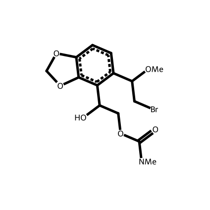 CNC(=O)OCC(O)c1c(C(CBr)OC)ccc2c1OCO2